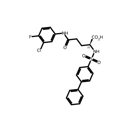 O=C(CC[C@H](NS(=O)(=O)c1ccc(-c2ccccc2)cc1)C(=O)O)Nc1ccc(F)c(Cl)c1